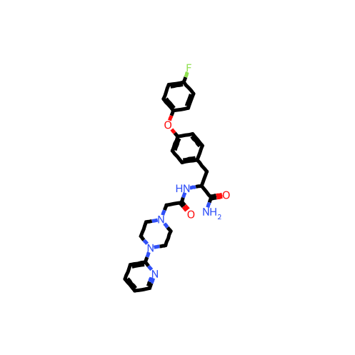 NC(=O)C(Cc1ccc(Oc2ccc(F)cc2)cc1)NC(=O)CN1CCN(c2ccccn2)CC1